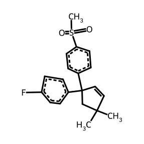 CC1(C)C=CC(c2ccc(F)cc2)(c2ccc(S(C)(=O)=O)cc2)C1